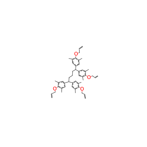 C=CCOc1c(C)cc(C(CCCC(c2cc(C)c(OCC=C)c(C)c2)c2cc(C)c(OCC=C)c(C)c2)c2cc(C)c(OCC=C)c(C)c2)cc1C